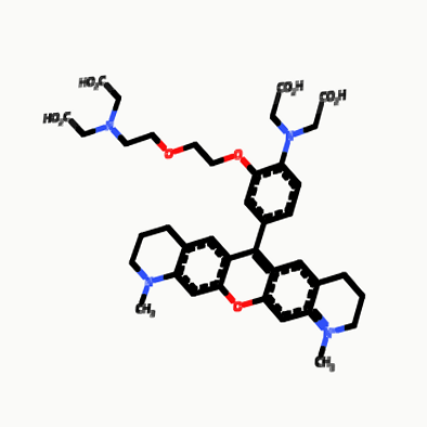 CN1CCCc2cc3c(cc21)Oc1cc2c(cc1=C3c1ccc(N(CC(=O)O)CC(=O)O)c(OCCOCCN(CC(=O)O)CC(=O)O)c1)CCC[N+]=2C